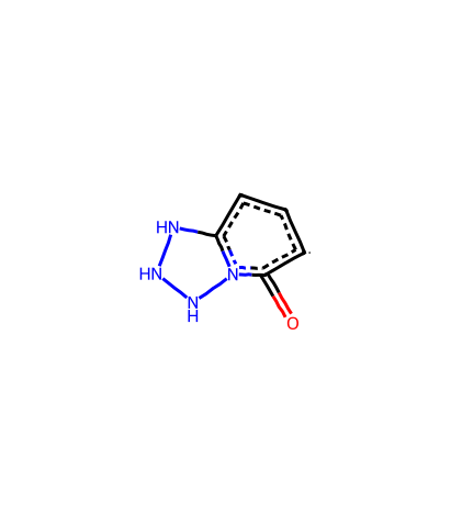 O=c1[c]ccc2n1NNN2